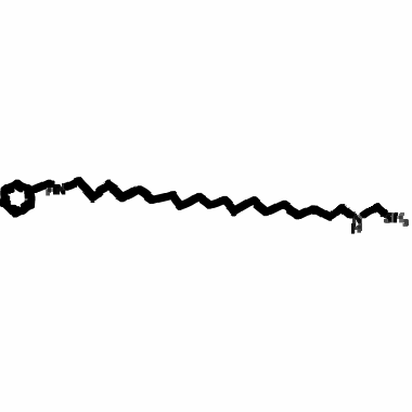 [SiH3]CNCCCCCCCCCCCCCCCCCCCNCc1ccccc1